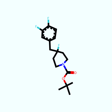 CC(C)(C)OC(=O)N1CCC(F)(Cc2ccc(F)c(F)c2)CC1